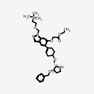 CCOC(=O)COc1cc2c(cnn2COCC[Si](C)(C)C)cc1C1=CCC(OC[C@@H]2NCC[C@H]2OCc2ccccc2)CC1